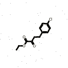 CCOC(=O)C(=O)CCc1ccc(Cl)cc1